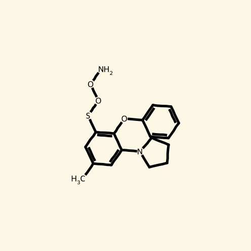 Cc1cc(SOON)c(Oc2ccccc2)c(N2CCCC2)c1